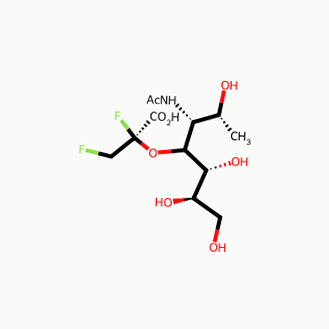 CC(=O)N[C@@H](C(O[C@](F)(CF)C(=O)O)[C@H](O)[C@H](O)CO)[C@@H](C)O